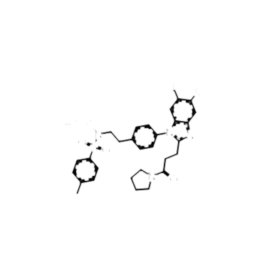 Cc1ccc(S(=O)(=O)N(CCc2ccc(-n3c(CCC(=O)N4CCCC4)nc4cc(C(F)(F)F)c(Cl)cc43)cc2)C(=O)O)cc1